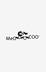 C=CC[n+]1ccccc1.COCCOCCOCCC(=O)[O-]